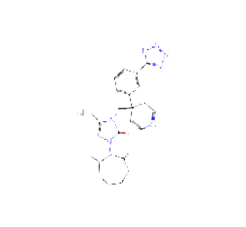 CCCCc1cn(C2C(=O)CCCCC2C(C)C)c(=O)n1CC1(c2cccc(-c3nnn[nH]3)c2)C=CN=CC1